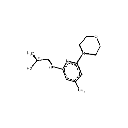 Cc1cc(NC[C@H](C)O)nc(N2CCOCC2)c1